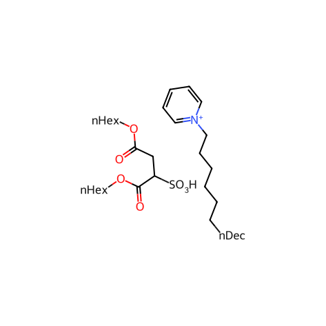 CCCCCCCCCCCCCCCC[n+]1ccccc1.CCCCCCOC(=O)CC(C(=O)OCCCCCC)S(=O)(=O)O